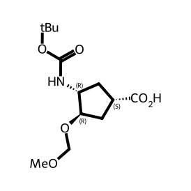 COCO[C@@H]1C[C@@H](C(=O)O)C[C@H]1NC(=O)OC(C)(C)C